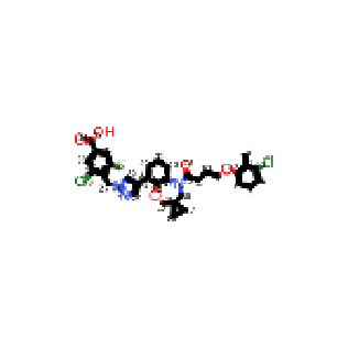 Cc1c(Cl)cccc1OCCCC(=O)N1CC2(CC2)COc2c(-c3cnn(Cc4c(F)cc(C(=O)O)cc4Cl)c3)cccc21